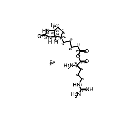 N=C(N)NCCC[C@H](N)C(=O)OC(=O)CCCC[C@@H]1SC[C@@H]2NC(=O)N[C@@H]21.[Fe]